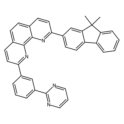 CC1(C)c2ccccc2-c2ccc(-c3ccc4ccc5ccc(-c6cccc(-c7ncccn7)c6)nc5c4n3)cc21